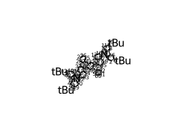 CC(C)(C)c1ccc2c(c1)c1cc(C(C)(C)C)ccc1n2-c1cccc2c(-c3cc(-c4ccccc4)c(-c4cccc5c(-n6c7ccc(C(C)(C)C)cc7c7cc(C(C)(C)C)ccc76)cccc45)cc3-c3ccccc3)cccc12